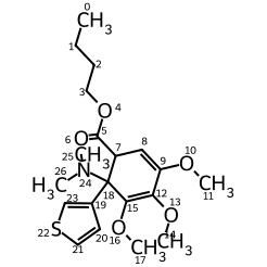 CCCCOC(=O)C1C=C(OC)C(OC)=C(OC)C1(c1ccsc1)N(C)C